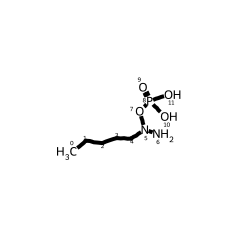 CCCCCN(N)OP(=O)(O)O